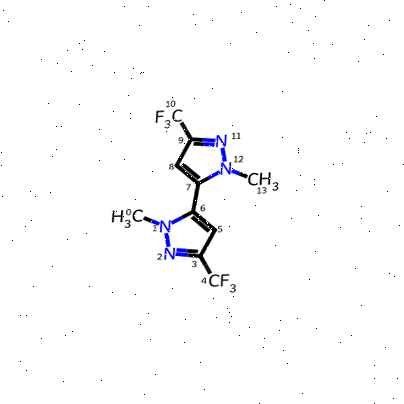 Cn1nc(C(F)(F)F)cc1-c1cc(C(F)(F)F)nn1C